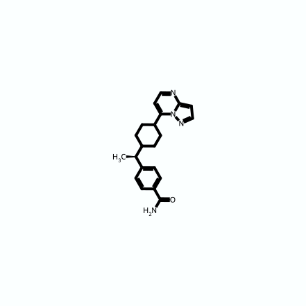 C[C@H](c1ccc(C(N)=O)cc1)C1CCC(c2ccnc3ccnn23)CC1